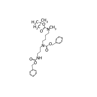 CN(CCCCN(CCCNC(=O)OCc1ccccc1)C(=O)OCc1ccccc1)C(=O)OC(C)(C)C